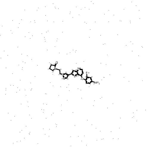 Nc1ccc(Oc2ccnc3cc(-c4cnn(CCN5CCCC5=O)c4)sc23)c(F)c1